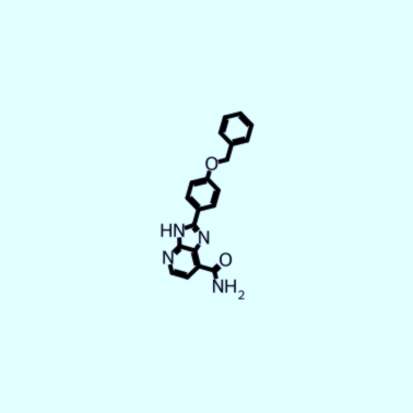 NC(=O)c1ccnc2[nH]c(-c3ccc(OCc4ccccc4)cc3)nc12